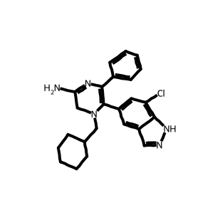 NC1=NC(c2ccccc2)=C(c2cc(Cl)c3[nH]ncc3c2)N(CC2CCCCC2)C1